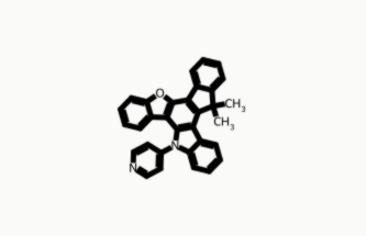 CC1(C)c2ccccc2-c2c1c1c3ccccc3n(-c3ccncc3)c1c1c2oc2ccccc21